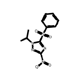 CC(C)n1nc([N+](=O)[O-])nc1S(=O)(=O)c1ccccc1